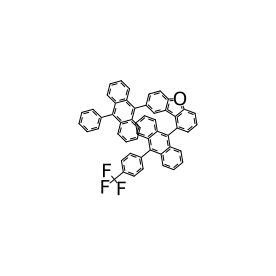 FC(F)(F)c1ccc(-c2c3ccccc3c(-c3cccc4oc5ccc(-c6c7ccccc7c(-c7ccccc7)c7ccccc67)cc5c34)c3ccccc23)cc1